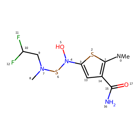 CNc1sc(N(O)SN(C)CC(F)F)cc1C(N)=O